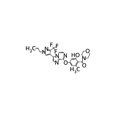 C=CCn1cc(-c2cnc3c(Oc4cc(C)c(C(=O)N5CCOCC5)c(O)c4)nccn23)c(C(F)(F)F)n1